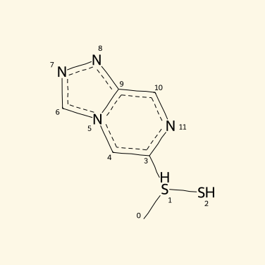 C[SH](S)c1cn2cnnc2cn1